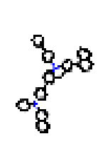 c1ccc(-c2ccc(N3c4ccc(-c5ccc(N(c6ccccc6)c6ccc7ccccc7c6)cc5)cc4Cc4cc(-c5cccc6ccccc56)ccc43)cc2)cc1